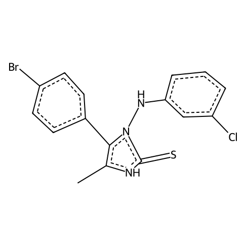 Cc1[nH]c(=S)n(Nc2cccc(Cl)c2)c1-c1ccc(Br)cc1